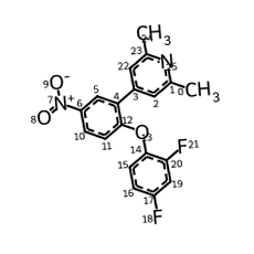 Cc1cc(-c2cc([N+](=O)[O-])ccc2Oc2ccc(F)cc2F)cc(C)n1